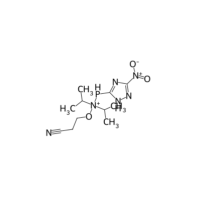 CC(C)[N+](OCCC#N)(Pc1nc([N+](=O)[O-])n[nH]1)C(C)C